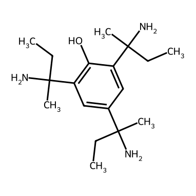 CCC(C)(N)c1cc(C(C)(N)CC)c(O)c(C(C)(N)CC)c1